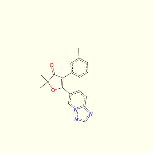 Cc1cccc(C2=C(c3ccc4ncnn4c3)OC(C)(C)C2=O)c1